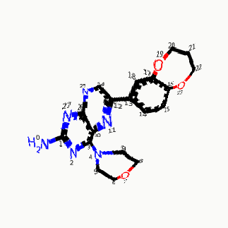 Nc1nc(N2CCOCC2)c2nc(-c3ccc4c(c3)OCCCO4)cnc2n1